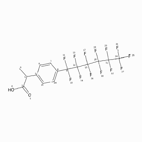 CC(C(=O)O)c1ccc(C(F)(F)C(F)(F)C(F)(F)C(F)(F)C(F)(F)C(F)(F)F)cc1